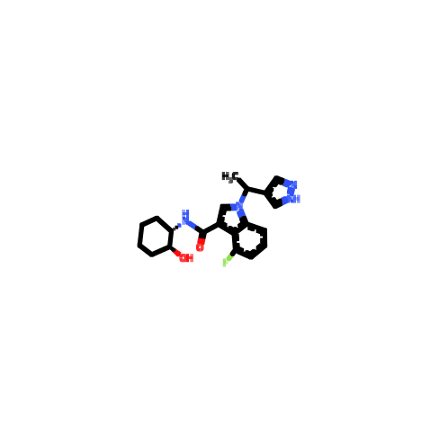 CC(c1cn[nH]c1)n1cc(C(=O)N[C@H]2CCCC[C@@H]2O)c2c(F)cccc21